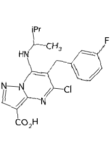 CC(C)C(C)Nc1c(Cc2cccc(F)c2)c(Cl)nc2c(C(=O)O)cnn12